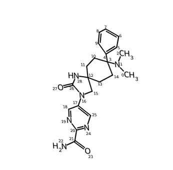 CN(C)C1(c2ccccc2)CCC2(CC1)CN(c1cnc(C(N)=O)nc1)C(=O)N2